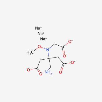 CON(CC(=O)[O-])C(CN)(CC(=O)[O-])CC(=O)[O-].[Na+].[Na+].[Na+]